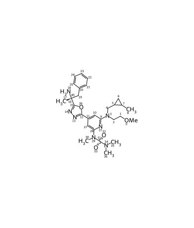 COCCN(CC1CC1C)c1cc(-c2nnc([C@](C)(N)Cc3ccccc3)o2)cc(N(C)S(=O)(=O)N(C)C)n1